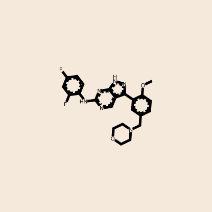 COc1ccc(CN2CCOCC2)cc1-c1n[nH]c2nc(Nc3ccc(F)cc3F)ncc12